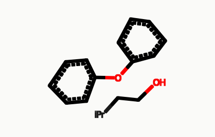 CC(C)CCO.c1ccc(Oc2ccccc2)cc1